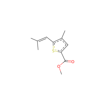 COC(=O)c1cc(C)c(C=C(C)C)s1